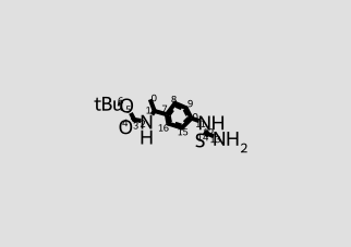 CC(NC(=O)OC(C)(C)C)c1ccc(NC(N)=S)cc1